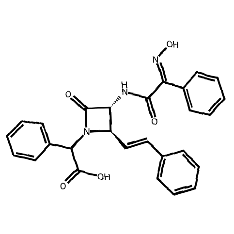 O=C(N[C@H]1C(=O)N(C(C(=O)O)c2ccccc2)[C@@H]1C=Cc1ccccc1)C(=NO)c1ccccc1